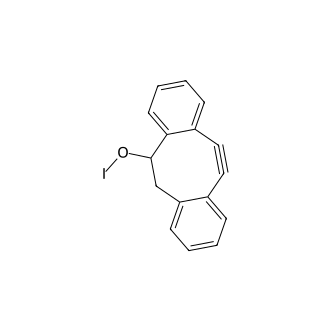 IOC1Cc2ccccc2C#Cc2ccccc21